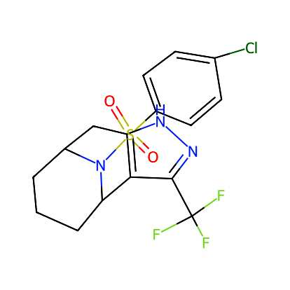 O=S(=O)(c1ccc(Cl)cc1)N1C2CCCC1c1c(C(F)(F)F)n[nH]c1C2